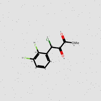 COC(=O)C(=O)C(Cl)c1cccc(F)c1F